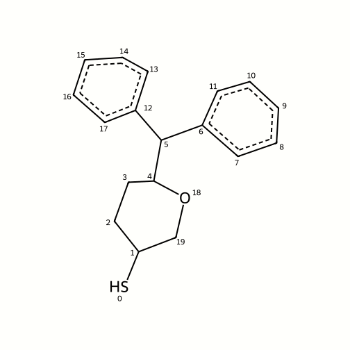 SC1CCC(C(c2ccccc2)c2ccccc2)OC1